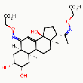 C/C(=N/OCC(=O)O)[C@H]1CC[C@@]2(O)C3=C/C(=N\OCC(=O)O)[C@@H]4C[C@@H](O)[C@@H](O)C[C@]4(C)C3CC[C@]12C